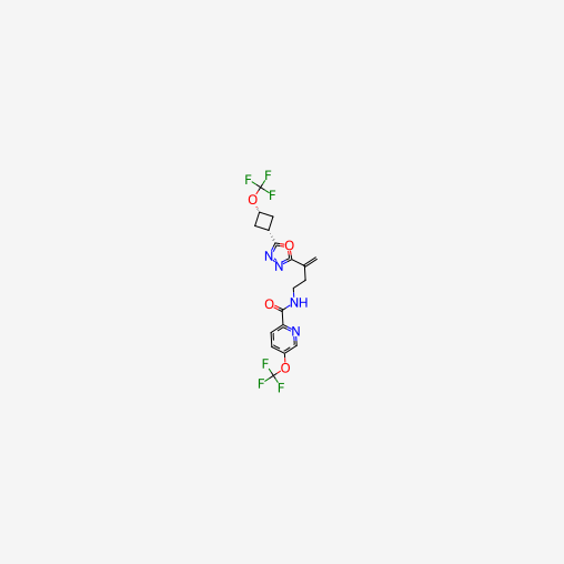 C=C(CCNC(=O)c1ccc(OC(F)(F)F)cn1)c1nnc([C@H]2C[C@@H](OC(F)(F)F)C2)o1